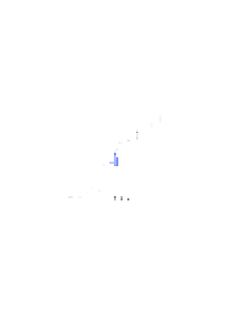 CCC(CNCCS(=O)(=O)O)OC